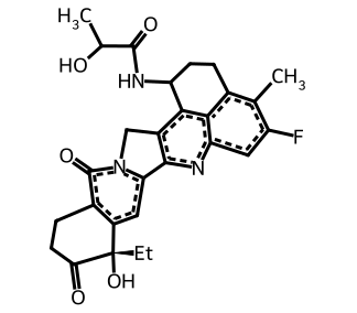 CC[C@@]1(O)C(=O)CCc2c1cc1n(c2=O)Cc2c-1nc1cc(F)c(C)c3c1c2C(NC(=O)C(C)O)CC3